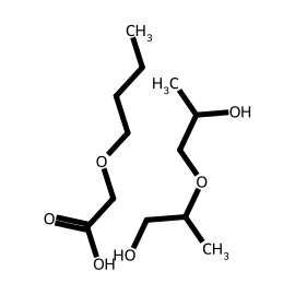 CC(O)COC(C)CO.CCCCOCC(=O)O